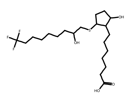 O=C(O)CCCCCCC1C(O)CCC1SCC(O)CCCCCCC(F)(F)F